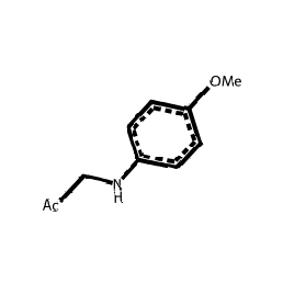 COc1ccc(NCC(C)=O)cc1